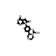 O=C(O)N1CCOCC1c1ccc(-n2c(Cl)cc3c(Cl)ncnc32)cc1